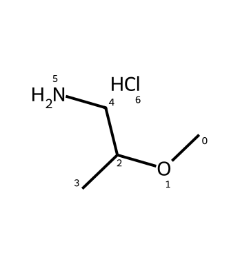 COC(C)CN.Cl